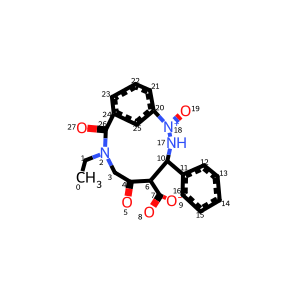 CCN1CC(=O)C(C(=O)[O-])C(c2ccccc2)N[N+](=O)c2cccc(c2)C1=O